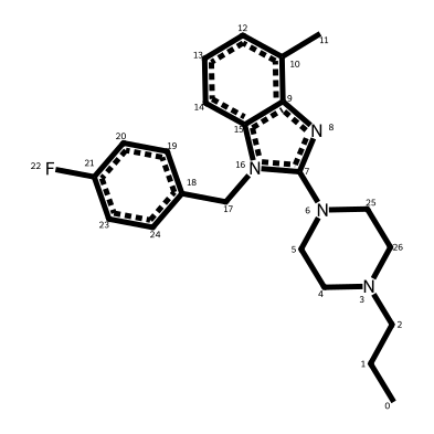 CCCN1CCN(c2nc3c(C)cccc3n2Cc2ccc(F)cc2)CC1